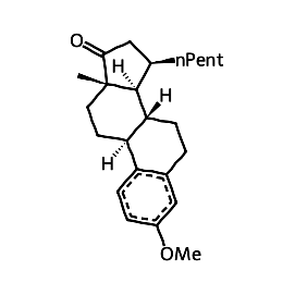 CCCCC[C@@H]1CC(=O)[C@@]2(C)CC[C@@H]3c4ccc(OC)cc4CC[C@H]3[C@H]12